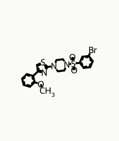 COc1ccccc1-c1csc(N2CCN(S(=O)(=O)c3cccc(Br)c3)CC2)n1